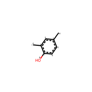 [CH]c1cc(C)ccc1O